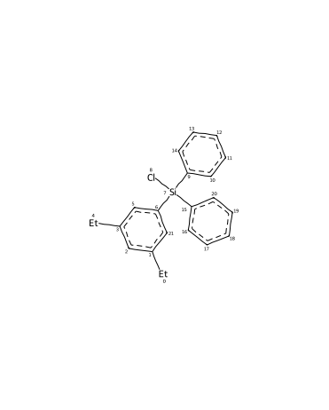 CCc1cc(CC)cc([Si](Cl)(c2ccccc2)c2ccccc2)c1